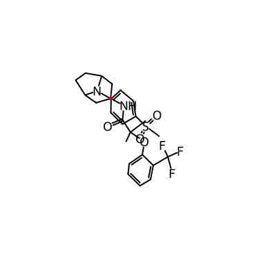 CC(C)(Oc1ccccc1C(F)(F)F)C(=O)NC1CC2CCC(C1)N2c1ccc(S(C)(=O)=O)cc1